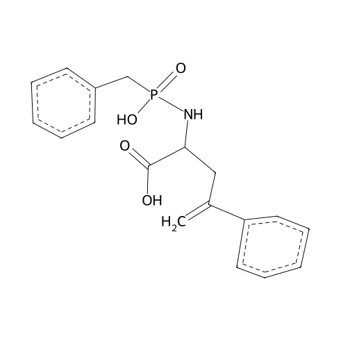 C=C(CC(NP(=O)(O)Cc1ccccc1)C(=O)O)c1ccccc1